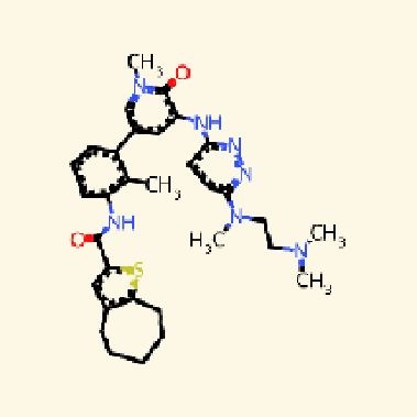 Cc1c(NC(=O)c2cc3c(s2)CCCCC3)cccc1-c1cc(Nc2ccc(N(C)CCN(C)C)nn2)c(=O)n(C)c1